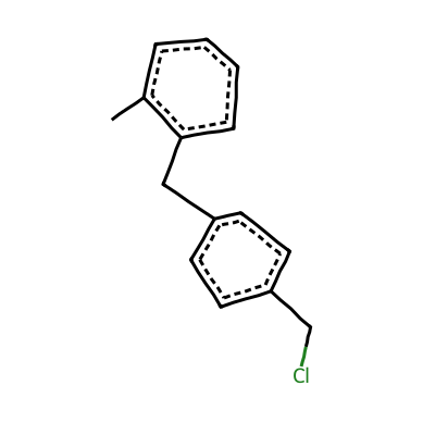 Cc1ccccc1Cc1ccc(CCl)cc1